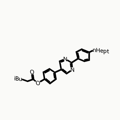 CCCCCCCc1ccc(-c2ncc(-c3ccc(OC(=O)CC(C)CC)cc3)cn2)cc1